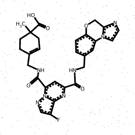 CC1(C(=O)O)CC=C(CNC(=O)c2cc(C(=O)NCc3ccc4c(c3)-n3ccnc3CO4)nc3c(F)cnn23)CC1